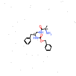 C[C@@H](N)C(=O)NC[C@H](Cc1ccccc1)NC(=O)OCc1ccccc1